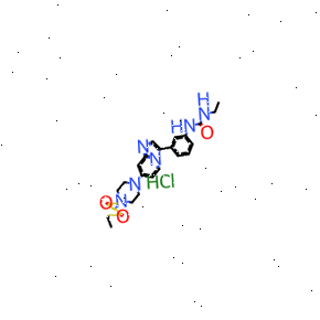 CCNC(=O)Nc1cccc(-c2cnc3cc(N4CCN(S(=O)(=O)CC)CC4)ccn23)c1.Cl